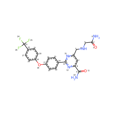 NC(=O)CNCc1cc(C(N)=O)nc(-c2ccc(Oc3ccc(C(F)(F)F)cc3)cc2)n1